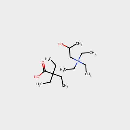 CCC(CC)(CC)C(=O)O.CC[N+](CC)(CC)CC(C)O